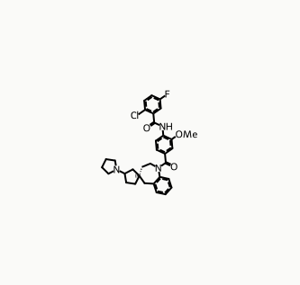 COc1cc(C(=O)N2CC[C@@]3(CCC(N4CCCC4)C3)Cc3ccccc32)ccc1NC(=O)c1cc(F)ccc1Cl